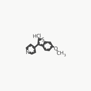 COc1ccc2c(-c3ccncc3)csc2c1.Cl